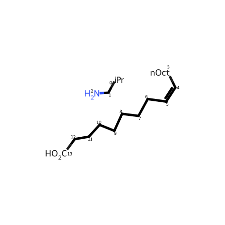 CC(C)CN.CCCCCCCC/C=C\CCCCCCCC(=O)O